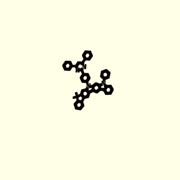 CC1(C)c2ccccc2-c2cc3c4cc5c6ccccc6n(-c6ccccc6)c5cc4n(-c4ccc(-c5nc(-c6ccccc6)cc(-c6ccccc6)n5)cc4)c3cc21